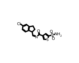 NS(=O)(=O)c1cc(C(=O)/N=C\C2CCc3cc(Cl)ccc32)cs1